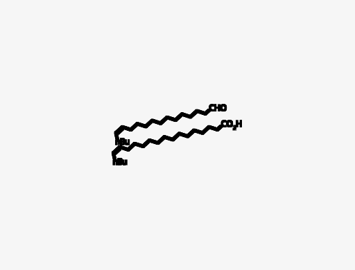 CCCC/C=C\CCCCCCCCCCCC=O.CCCC/C=C\CCCCCCCCCCCCCC(=O)O